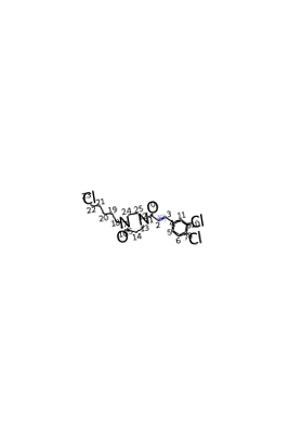 O=C(/C=C/c1ccc(Cl)c(Cl)c1)N1CCC(=O)N(CCCCCCl)CC1